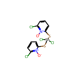 [O-][n+]1c(Cl)cccc1[S][Sn]([Cl])([Cl])[S]c1cccc(Cl)[n+]1[O-]